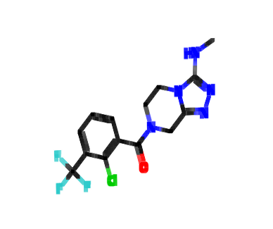 CNc1nnc2n1CCN(C(=O)c1cccc(C(F)(F)F)c1Cl)C2